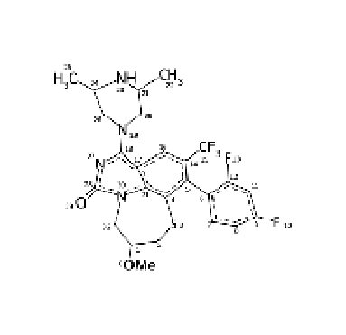 COC1CSc2c(-c3ccc(F)cc3F)c(C(F)(F)F)cc3c(N4CC(C)NC(C)C4)nc(=O)n(c23)C1